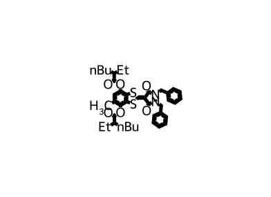 CCCCC(CC)C(=O)Oc1cc(C)c(OC(=O)C(CC)CCCC)c2c1SC(=C1C(=O)N(Cc3ccccc3)N(Cc3ccccc3)C1=O)S2